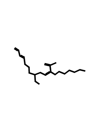 C=CC=CCCCC(CC)CC=C(CCCCCCC)C(=C)C